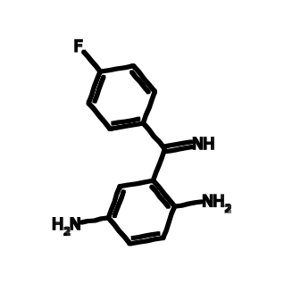 N=C(c1ccc(F)cc1)c1cc(N)ccc1N